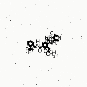 CC1(C)Cc2c(c(C(=O)NCc3ccccc3C(F)(F)F)cc3nc(Nc4c(Cl)cncc4Cl)[nH]c23)O1